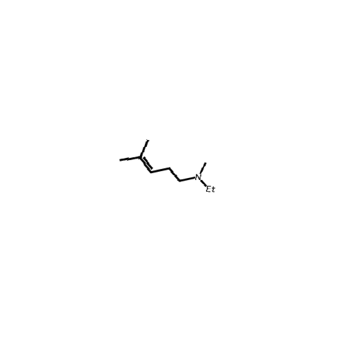 CCN(C)CCC=C(C)C